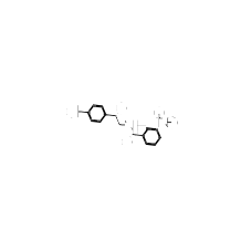 O=C(CNC(=O)c1cccc([N+](=O)[O-])c1)c1ccc(Cl)cc1